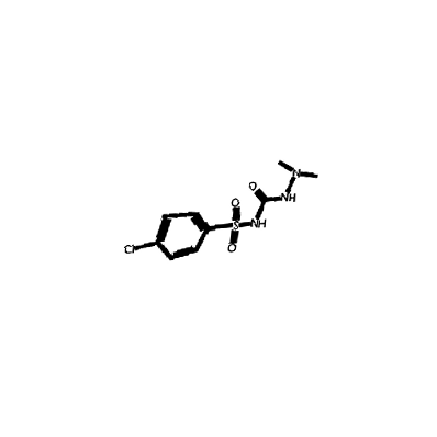 CN(C)NC(=O)NS(=O)(=O)c1ccc(Cl)cc1